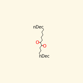 CCCCCCCCCCCCCCCC(=O)C(=O)CCCCCCCCCCCCC